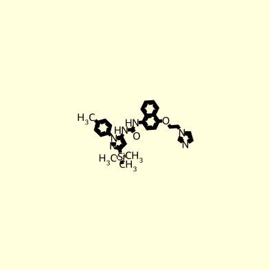 Cc1ccc(-n2nc([Si](C)(C)C)cc2NC(=O)Nc2ccc(OCCn3ccnc3)c3ccccc23)cc1